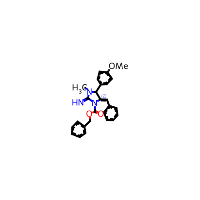 COc1ccc(C2/C(=C/c3ccccc3)N(C(=O)OCc3ccccc3)C(=N)N2C)cc1